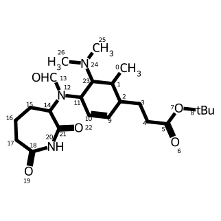 CC1C(CCC(=O)OC(C)(C)C)C=CC(N(C=O)C2CCCC(=O)NC2=O)C1N(C)C